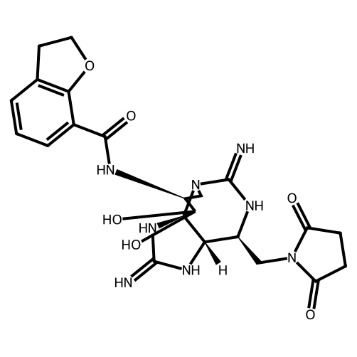 N=C1N[C@H]2[C@H](CN3C(=O)CCC3=O)NC(=N)N3C[C@H](NC(=O)c4cccc5c4OCC5)C(O)(O)[C@]23N1